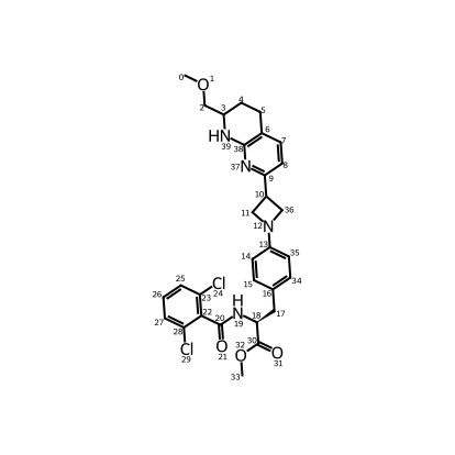 COCC1CCc2ccc(C3CN(c4ccc(C[C@H](NC(=O)c5c(Cl)cccc5Cl)C(=O)OC)cc4)C3)nc2N1